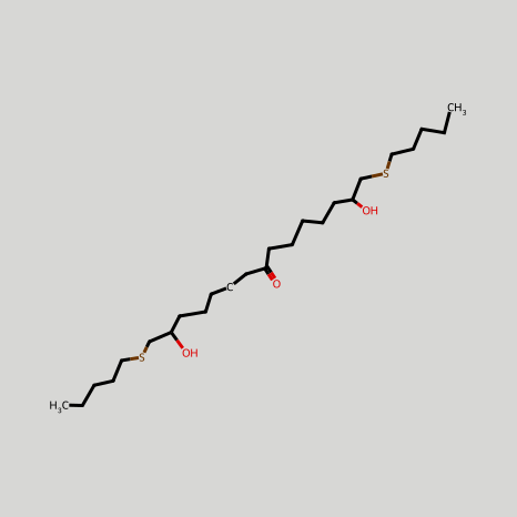 CCCCCSCC(O)CCCCCC(=O)CCCCCC(O)CSCCCCC